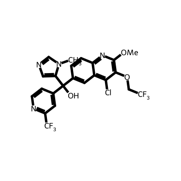 COc1nc2ccc(C(O)(c3ccnc(C(F)(F)F)c3)c3cncn3C)cc2c(Cl)c1OCC(F)(F)F